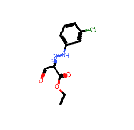 CCOC(=O)/C(C=O)=N\Nc1cccc(Cl)c1